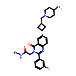 CC(C)NC(=O)Cn1c(-c2cccc(Cl)c2)nc2ccc([C@H]3C[C@H](CN4CCC(C(F)(F)F)CC4)C3)cc2c1=O